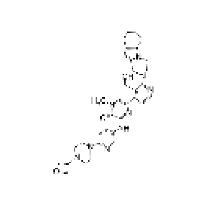 Cn1cc(-c2ccnc(N3CCn4c(cc5c4CCCC5)C3)c2CO)nc(Nc2ccc(N3CCN(C4COC4)CC3)nc2)c1=O